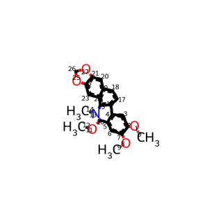 COc1cc2c(cc1OC)C(OC)N(C)c1c-2ccc2cc3c(cc12)OCO3